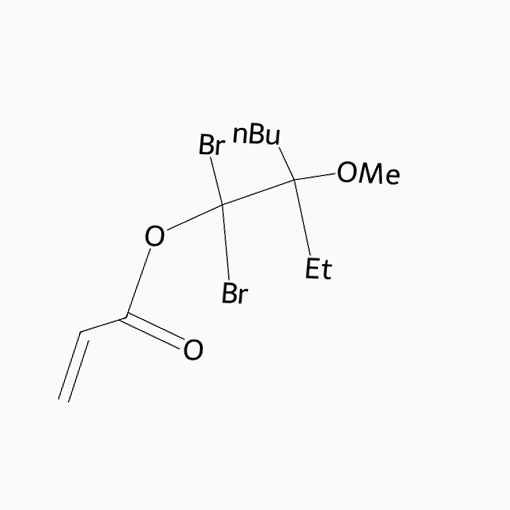 C=CC(=O)OC(Br)(Br)C(CC)(CCCC)OC